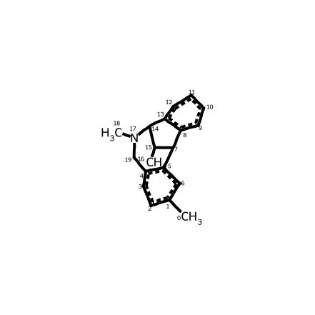 Cc1ccc2c(c1)C1c3ccccc3C(C1C)N(C)C2